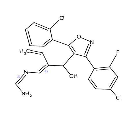 C=C/C(=C\N=C/N)C(O)c1c(-c2ccc(Cl)cc2F)noc1-c1ccccc1Cl